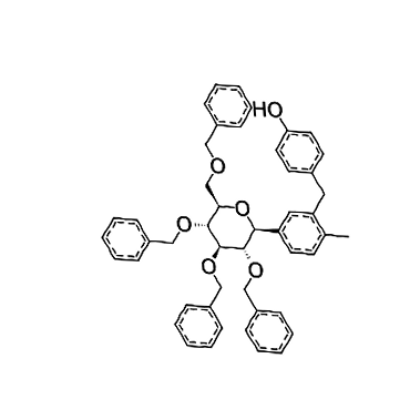 Cc1ccc([C@@H]2O[C@H](COCc3ccccc3)[C@@H](OCc3ccccc3)[C@H](OCc3ccccc3)[C@H]2OCc2ccccc2)cc1Cc1ccc(O)cc1